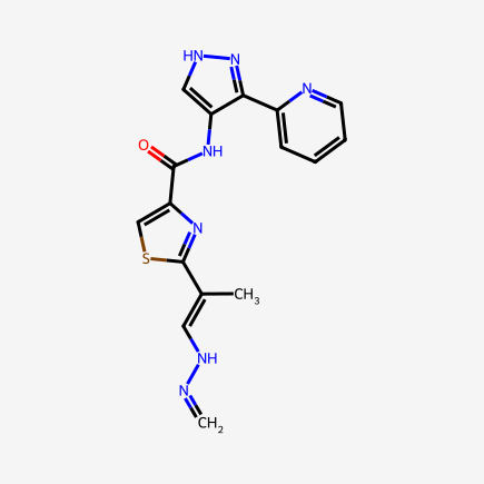 C=NN/C=C(\C)c1nc(C(=O)Nc2c[nH]nc2-c2ccccn2)cs1